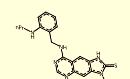 CCCNc1ccccc1CNc1ncnc2cc3c(cc12)[nH]c(=S)n3CC